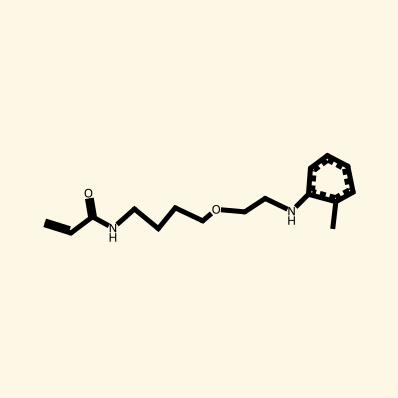 C=CC(=O)NCCCCOCCNc1ccccc1C